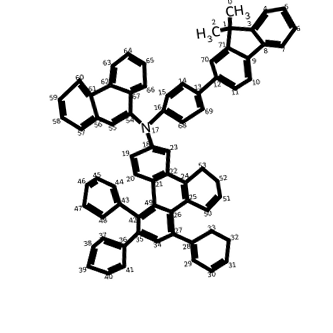 CC1(C)c2ccccc2-c2ccc(-c3ccc(N(c4ccc5c(c4)c4c(c6c(C7=CC=CCC7)cc(-c7ccccc7)c(-c7ccccc7)c65)C=CCC4)c4cc5ccccc5c5ccccc45)cc3)cc21